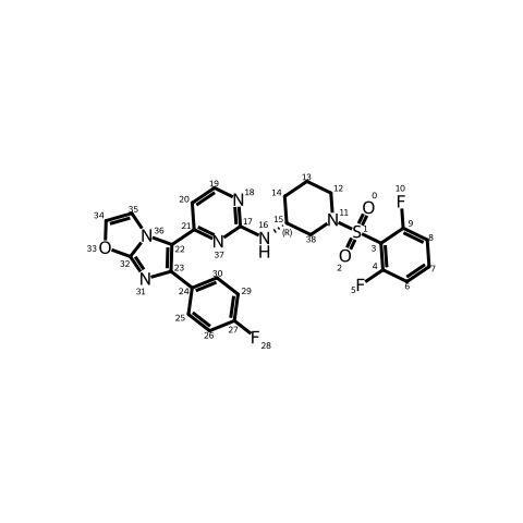 O=S(=O)(c1c(F)cccc1F)N1CCC[C@@H](Nc2nccc(-c3c(-c4ccc(F)cc4)nc4occn34)n2)C1